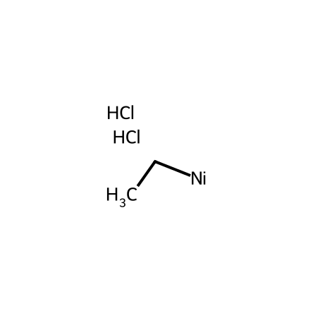 C[CH2][Ni].Cl.Cl